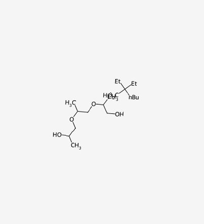 CC(O)COC(C)COC(C)CO.CCCCC(CC)(CC)C(=O)O